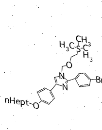 CCCCCCCOc1ccc(-c2cn(COCCS(C)(C)C)c(-c3ccc(Br)cc3)n2)cc1